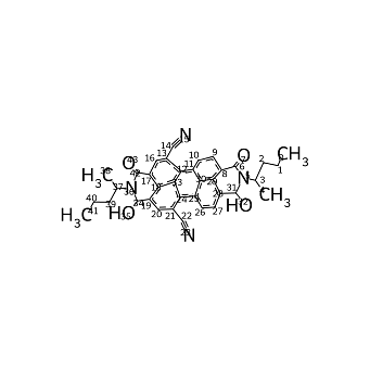 CCCC(C)N1C(=O)c2ccc3c4c(C#N)cc5c6c(cc(C#N)c(c7ccc(c2c37)C1O)c64)C(O)N(C(C)CCC)C5=O